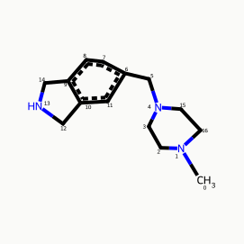 CN1CCN(Cc2ccc3c(c2)CNC3)CC1